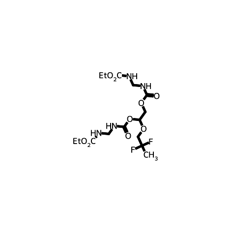 CCOC(=O)NCNC(=O)OCC(OCC(C)(F)F)OC(=O)NCNC(=O)OCC